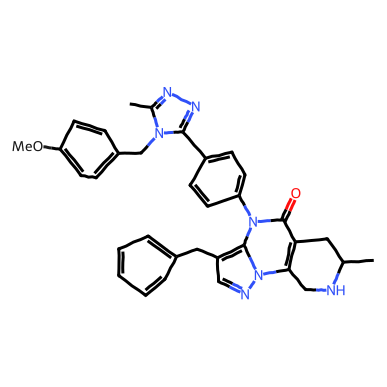 COc1ccc(Cn2c(C)nnc2-c2ccc(-n3c(=O)c4c(n5ncc(Cc6ccccc6)c35)CNC(C)C4)cc2)cc1